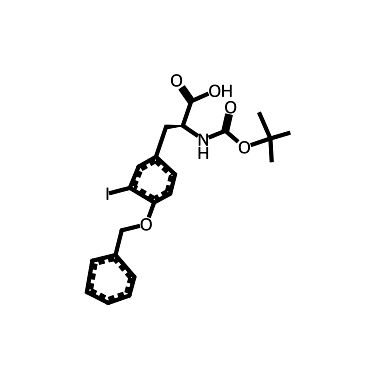 CC(C)(C)OC(=O)N[C@@H](Cc1ccc(OCc2ccccc2)c(I)c1)C(=O)O